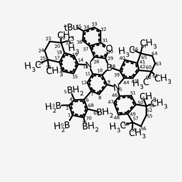 Bc1c(B)c(B)c(-c2cc3c4c(c2)N(c2ccc5c(c2)C(C)(C)CCC5(C)C)c2c(oc5ccc(C(C)(C)C)cc25)B4c2cc4c(cc2N3c2ccc3c(c2)C(C)(C)CCC3(C)C)C(C)(C)CCC4(C)C)c(B)c1B